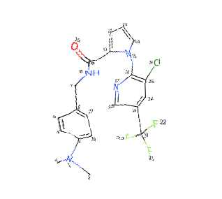 CN(C)c1ccc(CNC(=O)c2cccn2-c2ncc(C(F)(F)F)cc2Cl)cc1